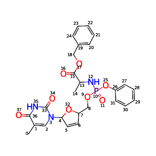 Cc1cn(C2C=CC(COP(=O)(NC(C)C(=O)OCc3ccccc3)Oc3ccccc3)O2)c(=O)[nH]c1=O